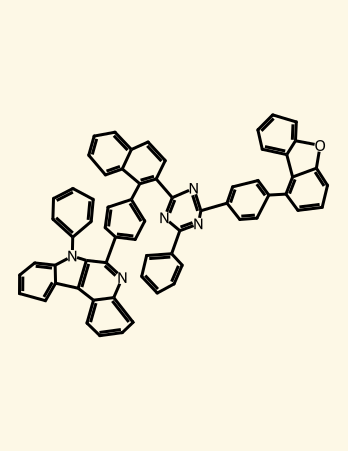 c1ccc(-c2nc(-c3ccc(-c4cccc5oc6ccccc6c45)cc3)nc(-c3ccc4ccccc4c3-c3ccc(-c4nc5ccccc5c5c6ccccc6n(-c6ccccc6)c45)cc3)n2)cc1